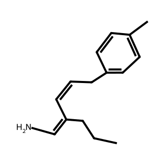 CCCC(/C=C\Cc1ccc(C)cc1)=C/N